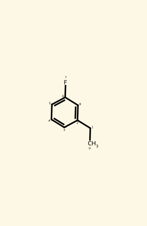 CCc1[c]ccc(F)c1